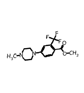 COC(=O)c1ccc(N2CCN(C)CC2)cc1C(F)(F)F